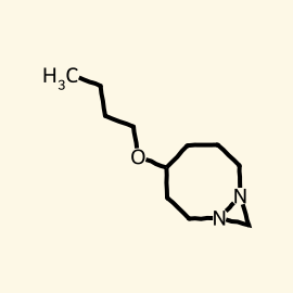 CCCCOC1CCCN2CN2CC1